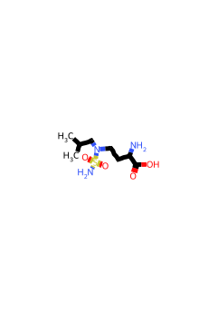 CC(C)CN(CCC(N)C(=O)O)S(N)(=O)=O